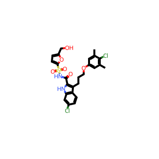 Cc1cc(OCCCc2c(C(=O)NS(=O)(=O)c3ccc(CO)o3)[nH]c3cc(Cl)ccc23)cc(C)c1Cl